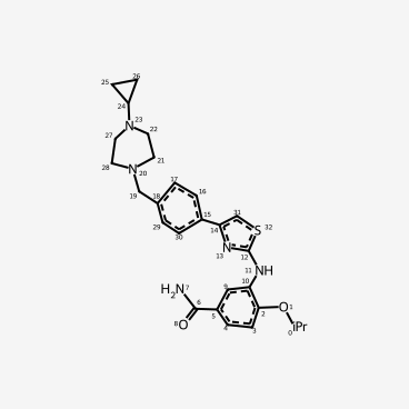 CC(C)Oc1ccc(C(N)=O)cc1Nc1nc(-c2ccc(CN3CCN(C4CC4)CC3)cc2)cs1